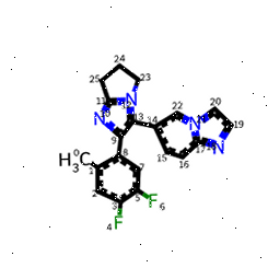 Cc1cc(F)c(F)cc1-c1nc2n(c1-c1ccc3nccn3c1)CCC2